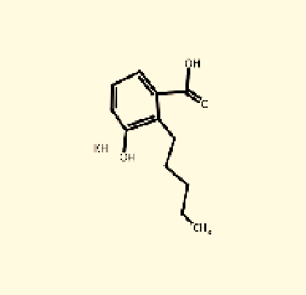 CCCCCc1c(O)cccc1C(=O)O.[KH]